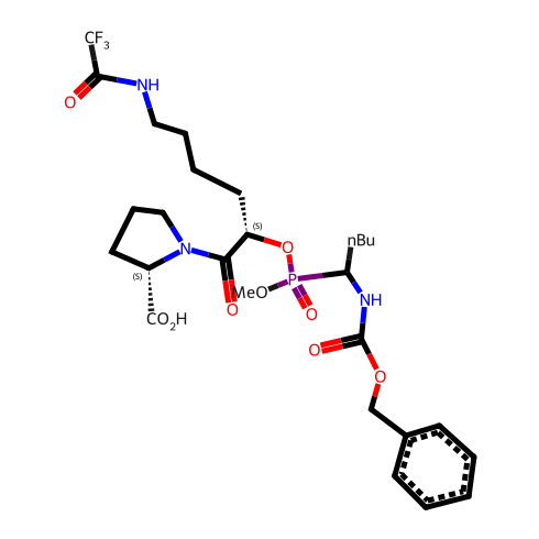 CCCCC(NC(=O)OCc1ccccc1)P(=O)(OC)O[C@@H](CCCCNC(=O)C(F)(F)F)C(=O)N1CCC[C@H]1C(=O)O